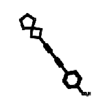 O=C(O)c1ccc(C#CC#CC2CC3(C2)OCCO3)cc1